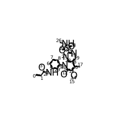 C=CC(=O)Nc1cccc(-n2c(=O)c(OC)c(C)c3cnc(S(=O)(=O)NC)nc32)c1